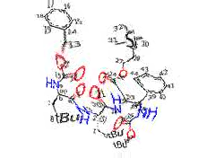 CC(C)(C)C[C@H](NC(=O)[C@@H](CC(C)(C)C)NC(=O)OCc1ccccc1)C(=O)N[C@H](C(=O)OCC[Si](C)(C)C)[C@H](NC(=O)OC(C)(C)C)c1ccccc1